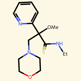 CCNC(=S)C(CN1CCOCC1)(OC)c1ccccn1